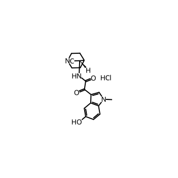 Cl.Cn1cc(C(=O)C(=O)N[C@@H]2CN3CCC2CC3)c2cc(O)ccc21